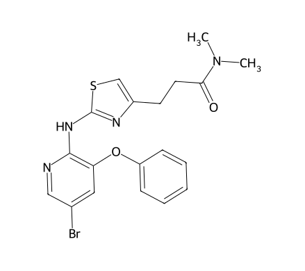 CN(C)C(=O)CCc1csc(Nc2ncc(Br)cc2Oc2ccccc2)n1